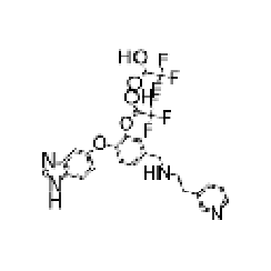 O=C(O)C(F)(F)F.O=C(O)C(F)(F)F.c1cncc(CCNCc2ccc(Oc3ccc4[nH]cnc4c3)cc2)c1